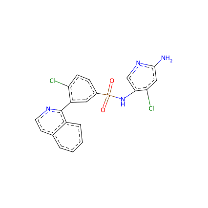 Nc1cc(Cl)c(NS(=O)(=O)c2ccc(Cl)c(-c3nccc4ccccc34)c2)cn1